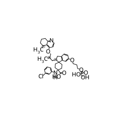 C[C@@H](COc1ccnc2c1[C@H](C)CCC2)C[C@H]1Cc2ccc(OCCCOP(=O)(O)O)cc2C12CCC(Nc1cccc(Cl)c1)(C(=O)O)CC2